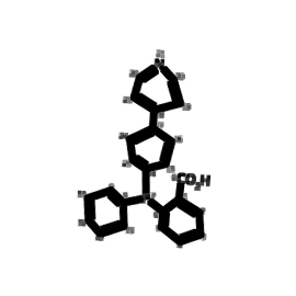 O=C(O)c1ccccc1P(c1ccccc1)c1ccc(-c2ccncc2)cc1